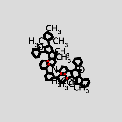 Cc1cc(C)c(-c2cc3c(c4c2oc2ccccc24)-c2ccc(N(c4ccc5c(c4)C(C)(C)c4c6c(c7oc8ccccc8c7c4-5)-c4ccccc4C6(C)C)c4c(-c5ccccc5)cccc4-c4ccccc4)cc2C3(C)C)c(C)c1